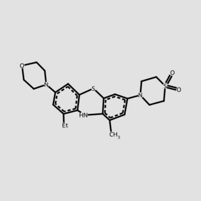 CCc1cc(N2CCOCC2)cc2c1Nc1c(C)cc(N3CCS(=O)(=O)CC3)cc1S2